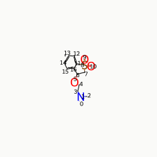 CN(C)CCOC1CS(=O)(=O)c2c[c]ccc21